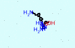 NCCCCc1cccc(-c2ccc(CNc3nc4c(N)ncnc4n3[C@H]3CC[C@@H](CO)O3)cc2)c1